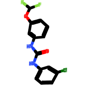 O=C(Nc1cccc(Cl)c1)Nc1cccc(OC(F)F)c1